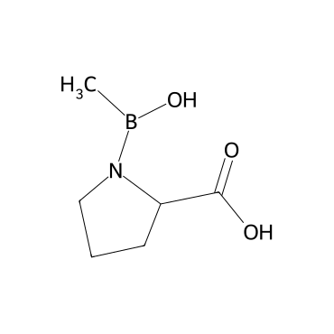 CB(O)N1CCCC1C(=O)O